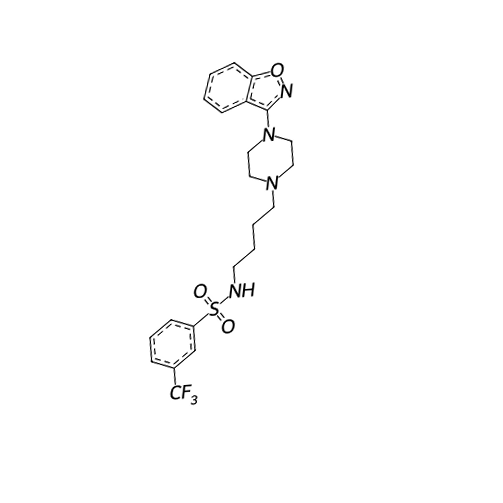 O=S(=O)(NCCCCN1CCN(c2noc3ccccc23)CC1)c1cccc(C(F)(F)F)c1